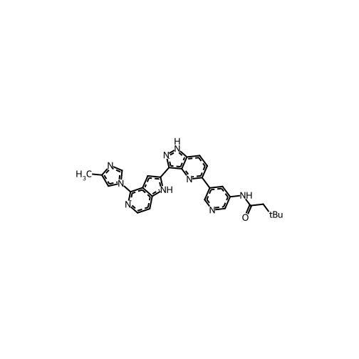 Cc1cn(-c2nccc3[nH]c(-c4n[nH]c5ccc(-c6cncc(NC(=O)CC(C)(C)C)c6)nc45)cc23)cn1